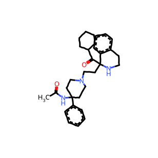 CC(=O)NC1(c2ccccc2)CCN(CCC2(C(=O)C3CCCCC3)NCCc3ccccc32)CC1